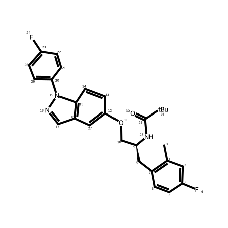 Cc1cc(F)ccc1C[C@@H](COc1ccc2c(cnn2-c2ccc(F)cc2)c1)NC(=O)C(C)(C)C